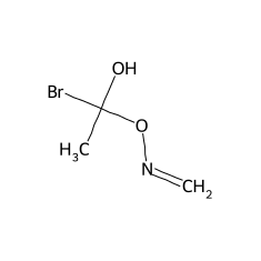 C=NOC(C)(O)Br